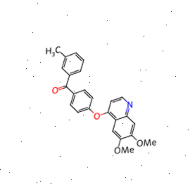 COc1cc2nccc(Oc3ccc(C(=O)c4cccc(C)c4)cc3)c2cc1OC